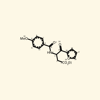 CCOC(=O)CC(NC(=O)c1ccc(OC)cc1)C(=O)c1ccco1